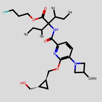 [2H]CC([2H])C(NC(=O)c1ccc(N2CC(OC)C2)c(OC[C@H]2C[C@@H]2CO)n1)(C(=O)OCCCF)C([2H])C[2H]